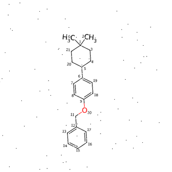 CC1(C)CCC(c2ccc(OCc3ccccc3)cc2)CC1